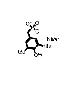 CC(C)(C)c1cc(CP(=O)([O-])[O-])cc(C(C)(C)C)c1O.[Na+].[Na+]